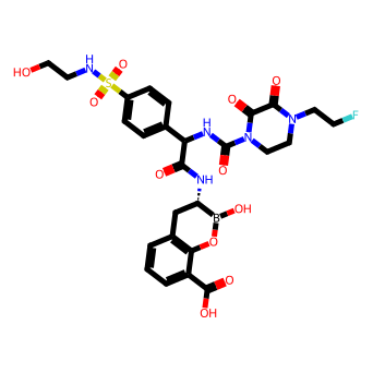 O=C(O)c1cccc2c1OB(O)[C@@H](NC(=O)C(NC(=O)N1CCN(CCF)C(=O)C1=O)c1ccc(S(=O)(=O)NCCO)cc1)C2